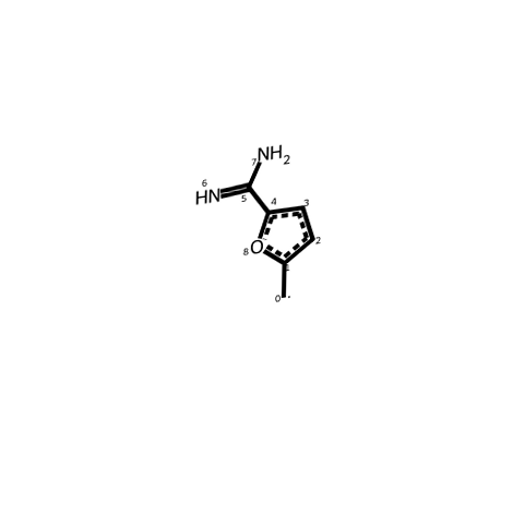 [CH2]c1ccc(C(=N)N)o1